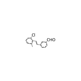 Cc1cccc(Cl)c1C=Cc1cccc(C=O)c1